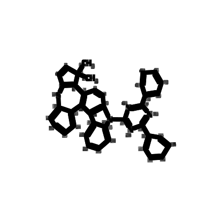 CC1(C)C=CC2=C1c1ccc3c(c1-c1ccccc1S2)c1ccccc1n3-c1nc(-c2ccccc2)nc(-c2ccccc2)n1